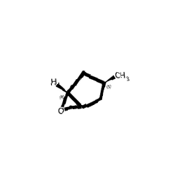 C[C@H]1CC2O[C@@H]2C1